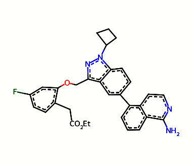 CCOC(=O)Cc1ccc(F)cc1OCc1nn(C2CCC2)c2ccc(-c3cccc4c(N)nccc34)cc12